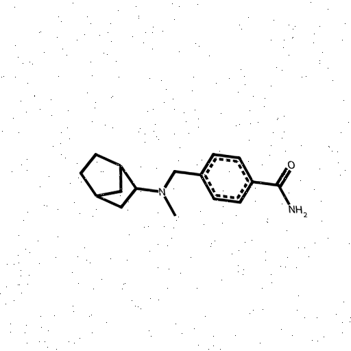 CN(Cc1ccc(C(N)=O)cc1)C1CC2CCC1C2